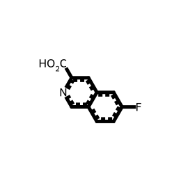 O=C(O)c1cc2cc(F)ccc2cn1